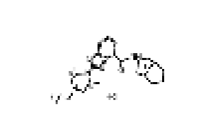 C[C@H]1CN(CC(F)(F)F)C[C@H](C)N1c1nc2c(C(=O)NC3CC4CCCC(C3)N4C)cccc2o1.Cl